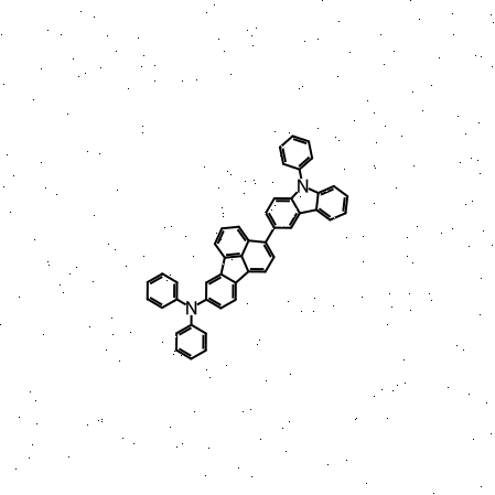 c1ccc(N(c2ccccc2)c2ccc3c(c2)-c2cccc4c(-c5ccc6c(c5)c5ccccc5n6-c5ccccc5)ccc-3c24)cc1